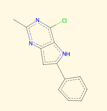 Cc1nc(Cl)c2[nH]c(-c3ccccc3)cc2n1